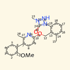 COc1ccccc1-c1ccc(OCc2c(C)cccc2-n2[nH]n(C)c2=O)nc1C